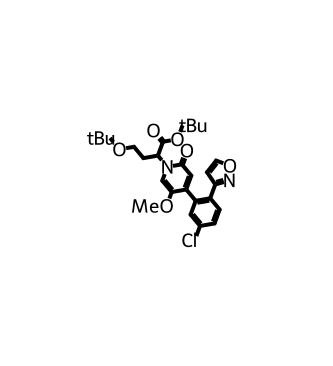 COc1cn(C(CCOC(C)(C)C)C(=O)OC(C)(C)C)c(=O)cc1-c1cc(Cl)ccc1-c1ccon1